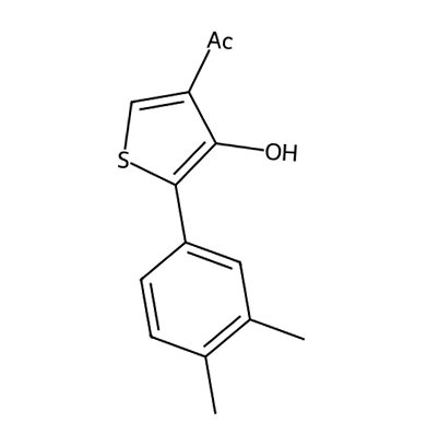 CC(=O)c1csc(-c2ccc(C)c(C)c2)c1O